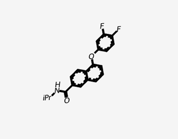 CC(C)NC(=O)c1ccc2c(Oc3ccc(F)c(F)c3)cccc2c1